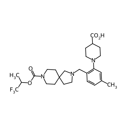 Cc1ccc(CN2CCC3(CCN(C(=O)OC(C)C(F)(F)F)CC3)C2)c(N2CCC(C(=O)O)CC2)c1